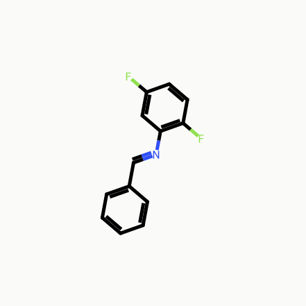 Fc1ccc(F)c(N=Cc2ccccc2)c1